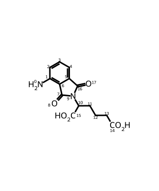 Nc1cccc2c1C(=O)N(C(CCCC(=O)O)C(=O)O)C2=O